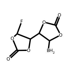 BC1OC(=O)OC1C1OC(=O)OC1F